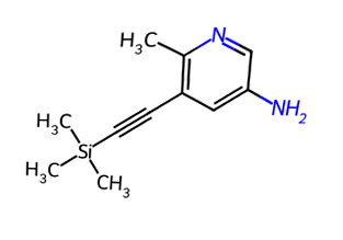 Cc1ncc(N)cc1C#C[Si](C)(C)C